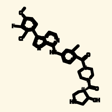 COc1ccc(-c2cnc3c(Nc4ccc(C(=O)N5CCN(C(=O)[C@H]6CCNCC6O)CC5)c(C)c4)nccn23)c(Cl)c1F